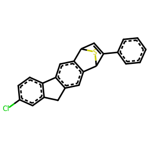 Clc1ccc2c(c1)Cc1cc3c(cc1-2)C1C=C(c2ccccc2)C3S1